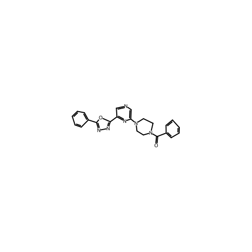 O=C(c1ccccc1)N1CCN(c2cncc(-c3nnc(-c4ccccc4)o3)n2)CC1